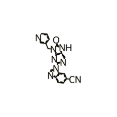 N#Cc1ccc2ncn(-c3ncc4[nH]c(=O)n(Cc5cccnc5)c4n3)c2c1